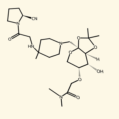 CN(C)C(=O)CO[C@@H]1CO[C@@]2(CN3CCC(C)(NCC(=O)N4CCC[C@H]4C#N)CC3)OC(C)(C)O[C@H]2[C@@H]1O